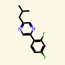 CC(C)Cc1cnc(-c2ccc(F)cc2F)cn1